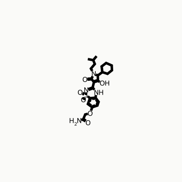 CC(C)CCN1C(=O)C(C2=NS(=O)(=O)c3cc(OCC(N)=O)ccc3N2)=C(O)C1C1CCCCC1